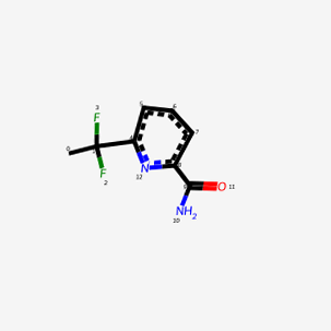 CC(F)(F)c1cccc(C(N)=O)n1